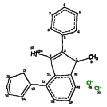 CC1C(c2ccccc2)=[C]([Hf+2])c2c(C3=CC=CC3)cccc21.[Cl-].[Cl-]